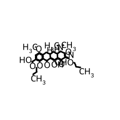 CCCCOc1noc2c1C(=O)[C@@]1(O)C(O)=C3C(=O)c4c(c(OC)cc(C(=O)O)c4OCCCC)C[C@H]3C[C@H]1[C@@H]2N(C)C